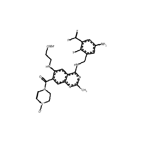 COCCNc1cc2c(NCc3cc(N)cc(C(F)F)c3F)nc(C)nc2cc1C(=O)N1CC[S+]([O-])CC1